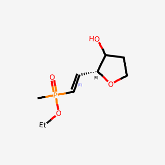 CCOP(C)(=O)/C=C/[C@H]1OCCC1O